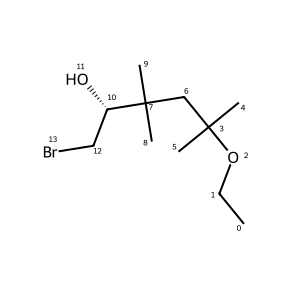 CCOC(C)(C)CC(C)(C)[C@@H](O)CBr